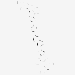 COC(=O)NC(C(=O)N1CCCC[C@H]1c1nc(-c2ccc3cc(-c4ccc(-c5c[nH]c([C@@H]6CCCCN6C(=O)C(NC(=O)O)C(C)C)n5)cc4)ccc3c2)c[nH]1)C(C)C